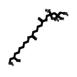 CCC(O)CCCCCCOC(=O)CCCCC(=O)OCC(C)(C)CC(C)(O)CC